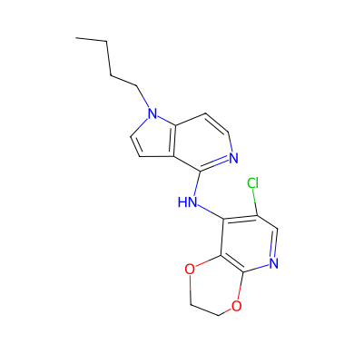 CCCCn1ccc2c(Nc3c(Cl)cnc4c3OCCO4)nccc21